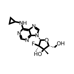 C[C@]1(O)[C@@H](CO)O[C@@H](n2cnc3c(NC4CC4)ncnc32)[C@]1(C)F